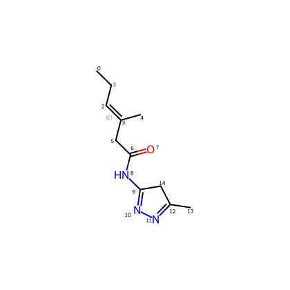 CC/C=C(\C)CC(=O)NC1=NN=C(C)C1